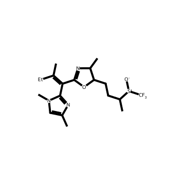 CC/C(C)=C(/C1=NC(C)C(CCC(C)[S+]([O-])C(F)(F)F)O1)c1nc(C)cn1C